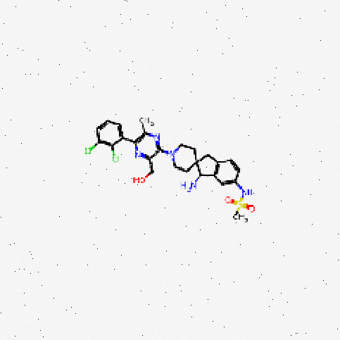 Cc1nc(N2CCC3(CC2)Cc2ccc(NS(C)(=O)=O)cc2[C@H]3N)c(CO)nc1-c1cccc(Cl)c1Cl